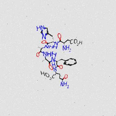 C[C@H](NC(=O)[C@H](C)NC(=O)[C@H](Cc1c[nH]cn1)NC(=O)[C@@H](N)CC(=O)O)C(=O)N[C@@H](Cc1ccccc1)C(=O)N[C@@H](CCC(N)=O)C(=O)O